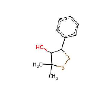 CC1(C)SSC(c2ccccc2)C1O